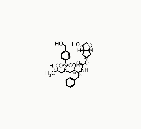 CC(C)CN(C[C@@H](O)[C@H](Cc1ccccc1)NC(=O)O[C@@H]1C[C@@H]2[C@H](O)CO[C@@H]2C1)S(=O)(=O)c1ccc(CO)cc1